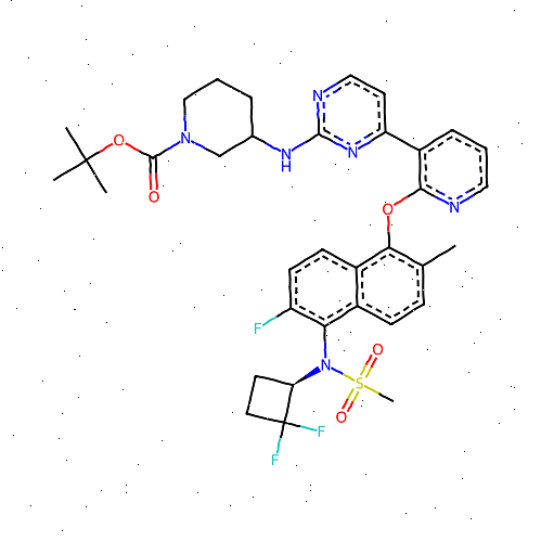 Cc1ccc2c(N([C@@H]3CCC3(F)F)S(C)(=O)=O)c(F)ccc2c1Oc1ncccc1-c1ccnc(NC2CCCN(C(=O)OC(C)(C)C)C2)n1